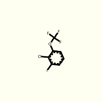 FC(F)(F)Oc1cccc(I)c1Cl